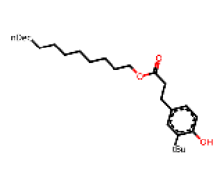 CCCCCCCCCCCCCCCCCCOC(=O)CCc1ccc(O)c(C(C)(C)C)c1